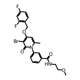 COCCNC(=O)c1cccc(-n2c(C)cc(OCc3ccc(F)cc3F)c(Br)c2=O)c1